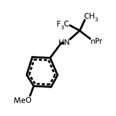 CCCC(C)(NCc1ccc(OC)cc1)C(F)(F)F